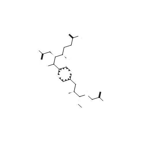 O=C(O)CO[C@H](CO)[C@@H](O)Cc1cnc(C(O)[C@@H](CC(=O)O)[C@H](O)[C@H](O)CC(=O)O)cn1